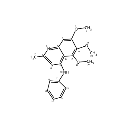 COc1cc2nc(C)nc(Nc3ccccc3)c2c(OC)c1OC